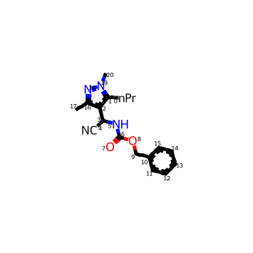 CCCc1c(C(C#N)NC(=O)OCc2ccccc2)c(C)nn1C